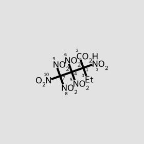 CCC(C(=O)O)([N+](=O)[O-])C([N+](=O)[O-])([N+](=O)[O-])C([N+](=O)[O-])([N+](=O)[O-])[N+](=O)[O-]